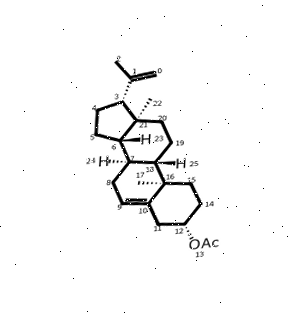 C=C(C)[C@H]1CC[C@H]2[C@@H]3CC=C4C[C@@H](OC(C)=O)CC[C@]4(C)[C@H]3CC[C@]12C